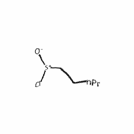 CCCCC[S+]([O-])Cl